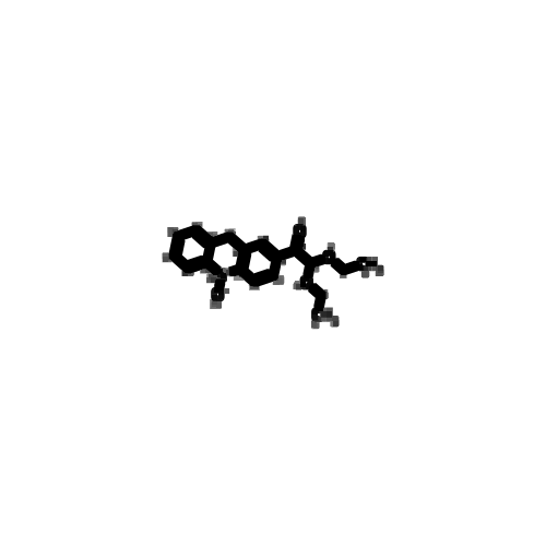 CCOC(OCC)C(=O)c1ccc2c(c1)Cc1ccccc1[S+]2[O-]